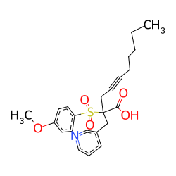 CCCCCC#CCC(Cc1cccnc1)(C(=O)O)S(=O)(=O)c1ccc(OC)cc1